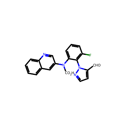 O=Cc1ccnn1-c1c(F)cccc1N(C(=O)O)c1cnc2ccccc2c1